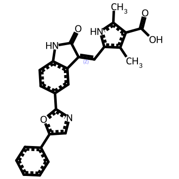 Cc1[nH]c(/C=C2\C(=O)Nc3ccc(-c4ncc(-c5ccccc5)o4)cc32)c(C)c1C(=O)O